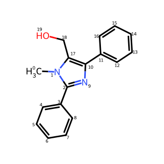 Cn1c(-c2ccccc2)nc(-c2ccccc2)c1CO